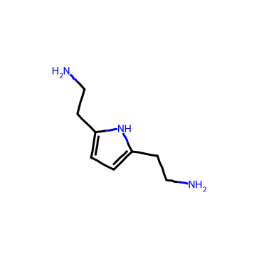 NCCc1ccc(CCN)[nH]1